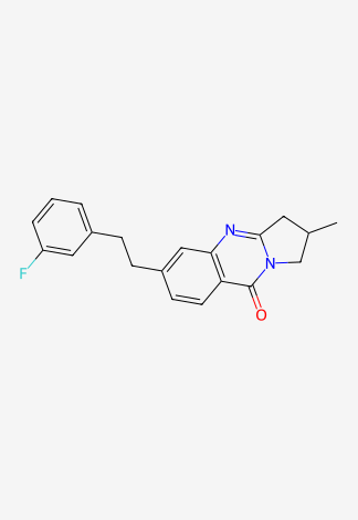 CC1Cc2nc3cc(CCc4cccc(F)c4)ccc3c(=O)n2C1